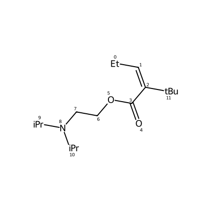 CCC=C(C(=O)OCCN(C(C)C)C(C)C)C(C)(C)C